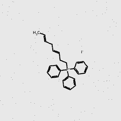 CC=CCC=CCC[P+](c1ccccc1)(c1ccccc1)c1ccccc1.[I-]